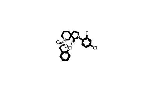 O=C1N(c2ccc(Cl)cc2F)CCC12CCCN(S(=O)(=O)Cc1ccccc1Cl)C2